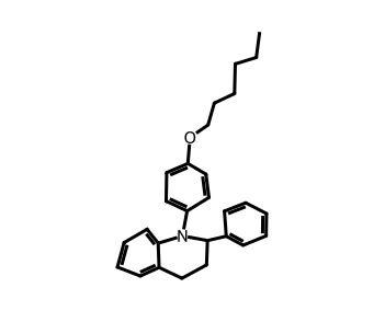 CCCCCCOc1ccc(N2c3ccccc3CCC2c2ccccc2)cc1